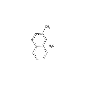 Cc1cnc2ccccc2c1.S